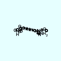 Nc1nccn2c(N3CCC4(CC3)CN(C3CN(C5CN(c6ccc7c(c6)C(=O)N(C6CCC(=O)NC6=O)C7=O)C5)C3)C4)nc(-c3ccc(Oc4ccccc4)cc3)c12